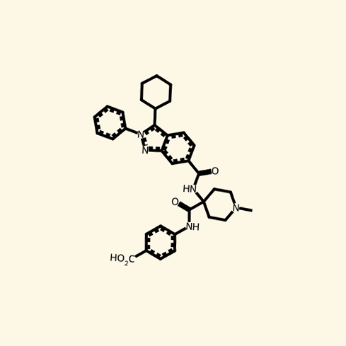 CN1CCC(NC(=O)c2ccc3c(C4CCCCC4)n(-c4ccccc4)nc3c2)(C(=O)Nc2ccc(C(=O)O)cc2)CC1